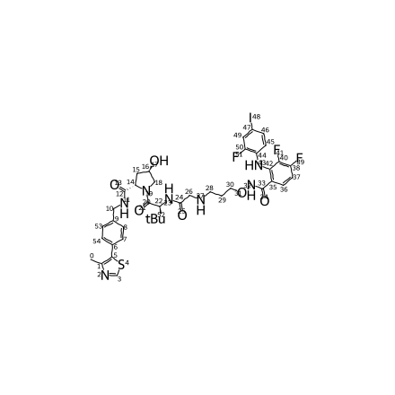 Cc1ncsc1-c1ccc(CNC(=O)[C@@H]2C[C@@H](O)CN2C(=O)[C@@H](NC(=O)CNCCCONC(=O)c2ccc(F)c(F)c2Nc2ccc(I)cc2F)C(C)(C)C)cc1